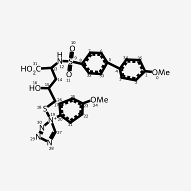 COc1ccc(-c2ccc(S(=O)(=O)NC(CC(O)CS[N+]3(c4ccc(OC)cc4)C=NN=N3)C(=O)O)cc2)cc1